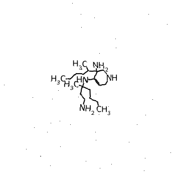 CCCCC(C)C1(N)CNCC=C1NC(C)(CCN)CCCC